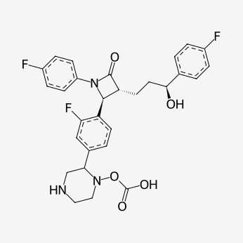 O=C(O)ON1CCNCC1c1ccc([C@@H]2[C@@H](CC[C@H](O)c3ccc(F)cc3)C(=O)N2c2ccc(F)cc2)c(F)c1